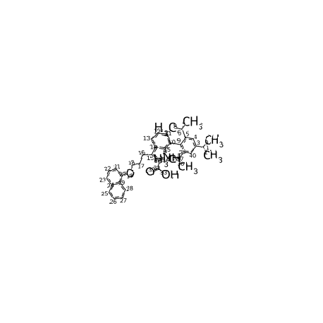 CC(C)c1cc(C(C)C)c(-c2cccc3c(CCCOc4cccc5ccccc45)c(C(=O)O)[nH]c23)c(C(C)C)c1